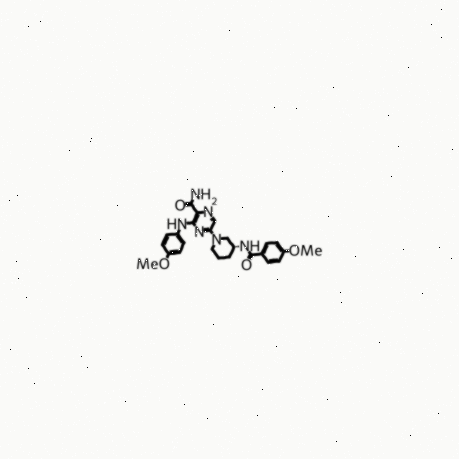 COc1ccc(Nc2nc(N3CCC[C@@H](NC(=O)c4ccc(OC)cc4)C3)cnc2C(N)=O)cc1